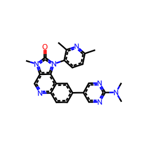 Cc1ccc(-n2c(=O)n(C)c3cnc4ccc(-c5cnc(N(C)C)nc5)cc4c32)c(C)n1